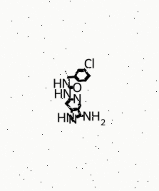 C[C@@H](NC(=O)Nc1cc2[nH]nc(N)c2cn1)c1cccc(Cl)c1